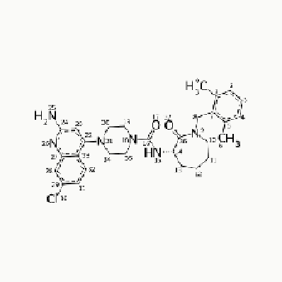 Cc1cccc(C)c1CN1CCCC[C@H](NC(=O)N2CCN(c3cc(N)nc4cc(Cl)ccc34)CC2)C1=O